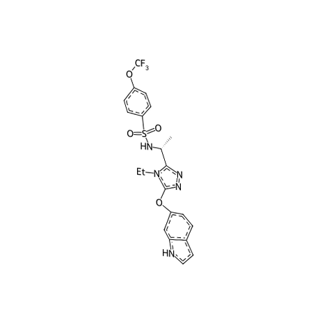 CCn1c(Oc2ccc3cc[nH]c3c2)nnc1[C@@H](C)NS(=O)(=O)c1ccc(OC(F)(F)F)cc1